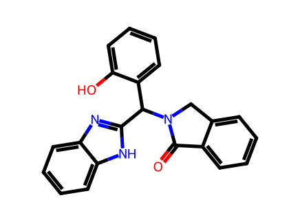 O=C1c2ccccc2CN1C(c1nc2ccccc2[nH]1)c1ccccc1O